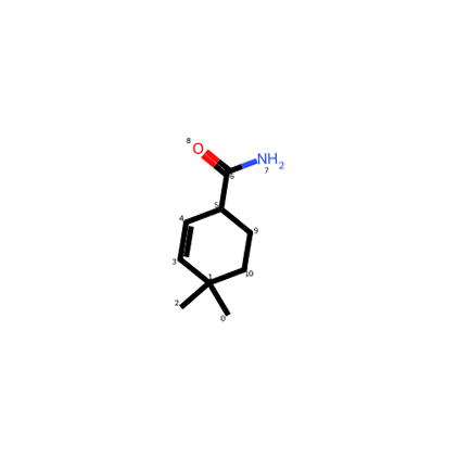 CC1(C)C=CC(C(N)=O)CC1